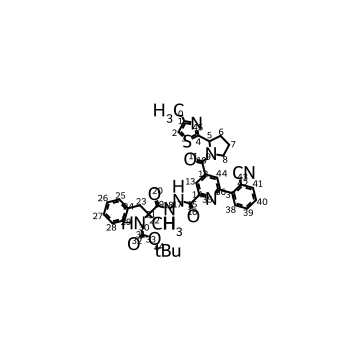 Cc1csc(C2CCCN2C(=O)c2cc(C(=O)NNC(=O)C(C)(Cc3ccccc3)NC(=O)OC(C)(C)C)nc(-c3ccccc3C#N)c2)n1